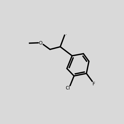 [CH2]C(COC)c1ccc(F)c(Cl)c1